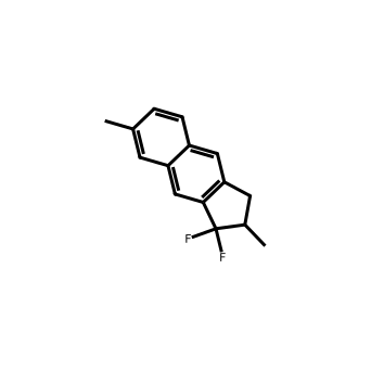 Cc1ccc2cc3c(cc2c1)C(F)(F)C(C)C3